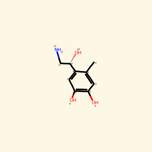 Cc1cc(O)c(O)cc1[C@@H](O)CN